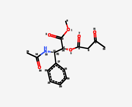 COC(=O)[C@H](OC(=O)CC(C)=O)[C@@H](NC(C)=O)c1ccccc1